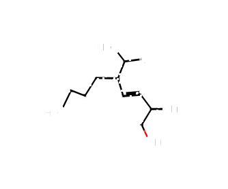 CCCCC(C=CC(C)CO)C(C)C